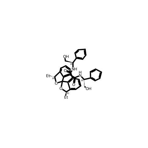 CC[C@H]1OC2(O[C@H](CC)c3cccc(C(=O)N[C@@H](CO)c4ccccc4)c32)c2c(C(=O)N[C@@H](CO)c3ccccc3)cccc21